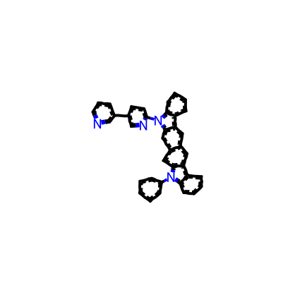 c1ccc(-n2c3ccccc3c3cc4cc5c6ccccc6n(-c6ccc(-c7cccnc7)cn6)c5cc4cc32)cc1